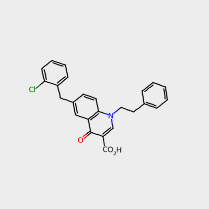 O=C(O)c1cn(CCc2ccccc2)c2ccc(Cc3ccccc3Cl)cc2c1=O